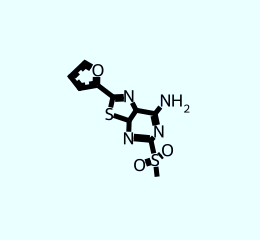 CS(=O)(=O)C1=NC2SC(c3ccco3)=NC2C(N)=N1